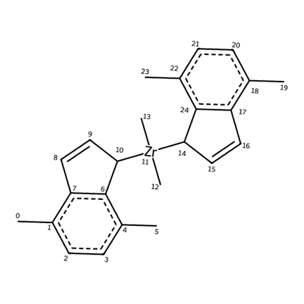 Cc1ccc(C)c2c1C=C[CH]2[Zr]([CH3])([CH3])[CH]1C=Cc2c(C)ccc(C)c21